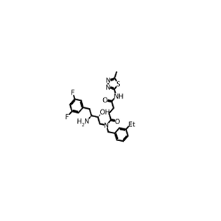 CCc1cccc(CN(C[C@@H](O)[C@@H](N)Cc2cc(F)cc(F)c2)C(=O)CCC(=O)Nc2nnc(C)s2)c1